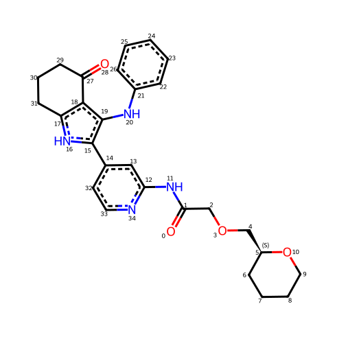 O=C(COC[C@@H]1CCCCO1)Nc1cc(-c2[nH]c3c(c2Nc2ccccc2)C(=O)CCC3)ccn1